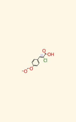 COCOc1ccc(/C=C(\Cl)C(=O)O)cc1